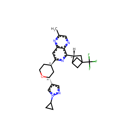 Cc1cnc2c([C@@H]3CC4(C(F)(F)F)CC3C4)nc([C@@H]3CCO[C@@H](c4cnn(C5CC5)c4)C3)cc2n1